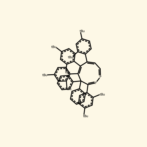 CC(C)(C)c1ccc(C2=C/C=P\P=C(\c3ccc(C(C)(C)C)cc3C(C)(C)C)C(c3ccccc3)(c3ccccc3)/C(c3ccc(C(C)(C)C)cc3C(C)(C)C)=C\2c2ccc(C(C)(C)C)cc2C(C)(C)C)c(C(C)(C)C)c1